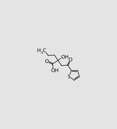 CCCC(O)(CC(=O)c1cccs1)C(=O)O